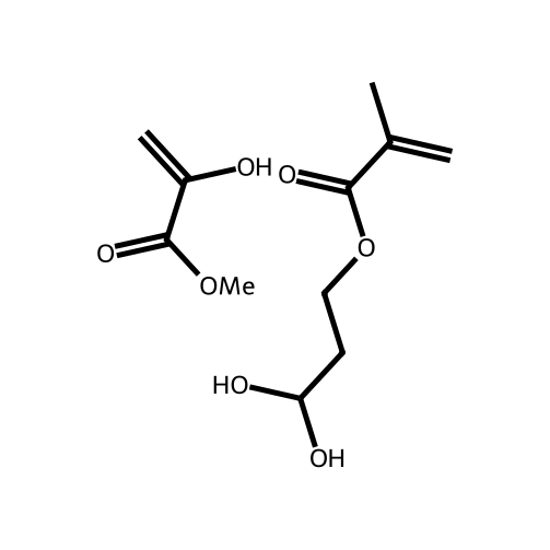 C=C(C)C(=O)OCCC(O)O.C=C(O)C(=O)OC